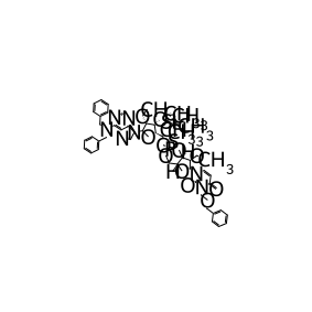 CO[C@@H]1[C@@H]2O[P@](=S)(OC[C@H]3O[C@@H](n4cnc5c(N(Cc6ccccc6)Cc6ccccc6)ncnc54)[C@H](OC)[C@@H]3O[Si](C)(C)C(C)(C)C)OC[C@H]2O[C@H]1n1ccc(=O)n(COCc2ccccc2)c1=O